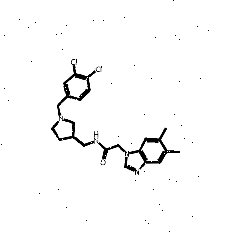 Cc1cc2ncn(CC(=O)NCC3CCN(Cc4ccc(Cl)c(Cl)c4)C3)c2cc1C